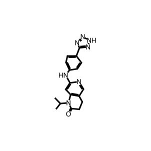 CC(C)N1C(=O)CCc2cnc(Nc3ccc(-c4nn[nH]n4)cc3)cc21